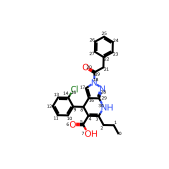 CCCC1=C(C(=O)O)C(c2ccccc2Cl)c2cn(C(=O)Cc3ccccc3)nc2N1